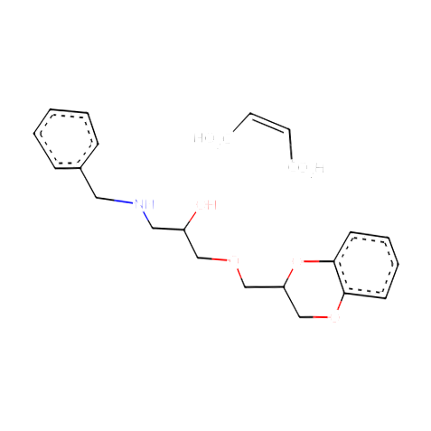 O=C(O)/C=C\C(=O)O.OC(CNCc1ccccc1)COCC1COc2ccccc2O1